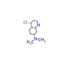 CN(C)c1ccc2c(Cl)ccnc2c1